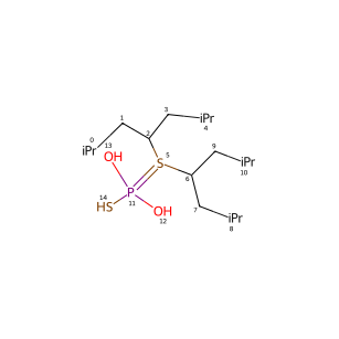 CC(C)CC(CC(C)C)S(C(CC(C)C)CC(C)C)=P(O)(O)S